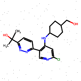 CC(C)(O)c1ccc(-c2cnc(Cl)cc2NC2CCC(CO)CC2)nn1